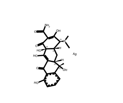 CN(C)[C@@H]1C(O)=C(C(N)=O)C(=O)[C@@]2(O)C(O)=C3C(=O)c4c(O)cccc4[C@@](C)(O)[C@H]3C[C@@H]12.[Ag]